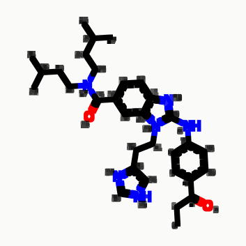 CCC(=O)c1ccc(Nc2nc3ccc(C(=O)N(CCC(C)C)CCC(C)C)cc3n2CCc2c[nH]cn2)cc1